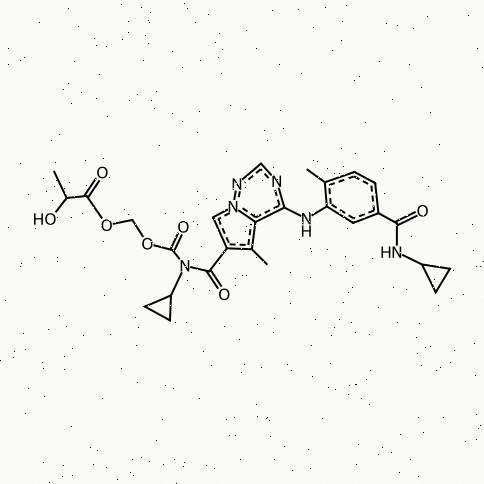 Cc1ccc(C(=O)NC2CC2)cc1Nc1ncnn2cc(C(=O)N(C(=O)OCOC(=O)C(C)O)C3CC3)c(C)c12